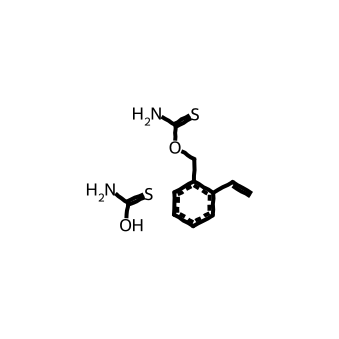 C=Cc1ccccc1COC(N)=S.NC(O)=S